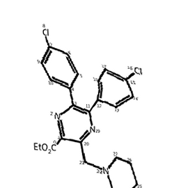 CCOC(=O)c1nc(-c2ccc(Cl)cc2)c(-c2ccc(Cl)cc2)nc1CN1CCCCC1